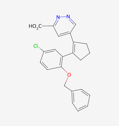 O=C(O)c1cc(C2=C(c3cc(Cl)ccc3OCc3ccccc3)CCC2)cnn1